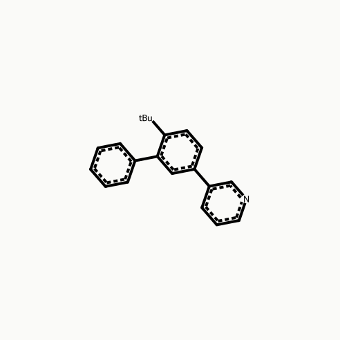 CC(C)(C)c1ccc(-c2cccnc2)cc1-c1ccccc1